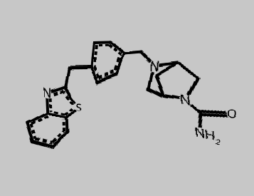 NC(=O)N1CC2CC1CN2Cc1ccc(Cc2nc3ccccc3s2)cc1